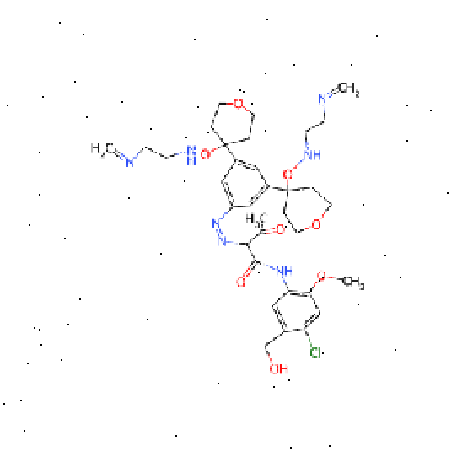 C=NCCNOC1(c2cc(/N=N\C(C(C)=O)C(=O)Nc3cc(CO)c(Cl)cc3OC)cc(C3(ONCCN=C)CCOCC3)c2)CCOCC1